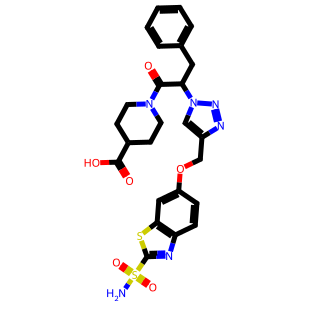 NS(=O)(=O)c1nc2ccc(OCc3cn(C(Cc4ccccc4)C(=O)N4CCC(C(=O)O)CC4)nn3)cc2s1